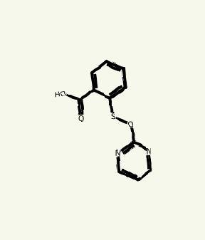 O=C(O)c1ccccc1SOc1ncccn1